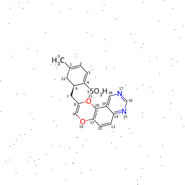 CC1=CC=C(S(=O)(=O)O)[C@@H](CC2=COc3ccc4ncncc4c3O2)C1